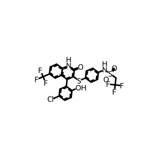 O=c1[nH]c2ccc(C(F)(F)F)cc2c(-c2cc(Cl)ccc2O)c1Sc1ccc(NS(=O)(=O)CC(F)(F)F)cc1